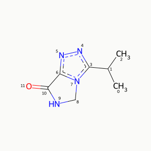 CC(C)c1nnc2n1CNC2=O